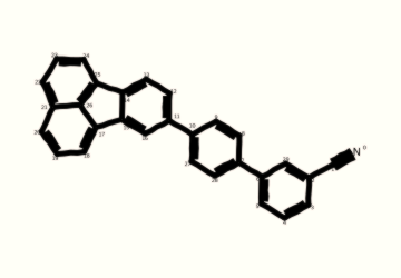 N#Cc1cccc(-c2ccc(-c3ccc4c(c3)-c3cccc5cccc-4c35)cc2)c1